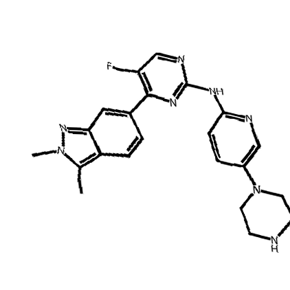 Cc1c2ccc(-c3nc(Nc4ccc(N5CCNCC5)cn4)ncc3F)cc2nn1C